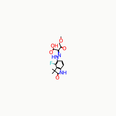 COCC(=O)C(=NNc1ccc2c(c1F)C(C)(C)C(=O)N2)C(=O)O